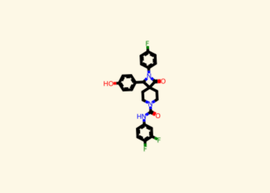 O=C(Nc1ccc(F)c(F)c1)N1CCC2(CC1)C(=O)N(c1ccc(F)cc1)C2c1ccc(O)cc1